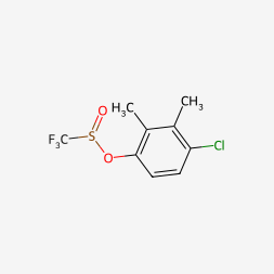 Cc1c(Cl)ccc(OS(=O)C(F)(F)F)c1C